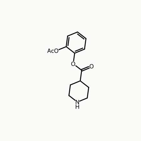 CC(=O)Oc1ccccc1OC(=O)C1CCNCC1